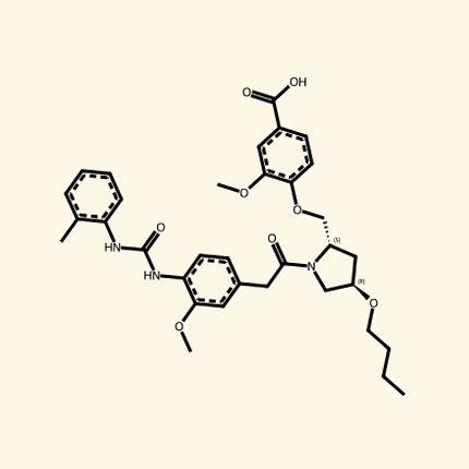 CCCCO[C@@H]1C[C@@H](COc2ccc(C(=O)O)cc2OC)N(C(=O)Cc2ccc(NC(=O)Nc3ccccc3C)c(OC)c2)C1